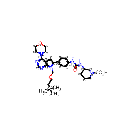 C[Si](C)(C)CCOCn1c(-c2ccc(NC(=O)NC3CCCN(C(=O)O)C3)cc2)cc2c(N3CCOCC3)ncnc21